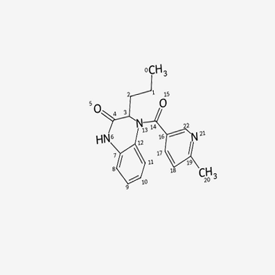 CCCC1C(=O)Nc2ccccc2N1C(=O)c1ccc(C)nc1